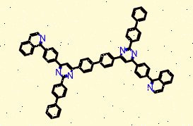 c1ccc(-c2ccc(-c3nc(-c4ccc(-c5ccc(-c6cc(-c7ccc(-c8nccc9ccccc89)cc7)nc(-c7ccc(-c8ccccc8)cc7)n6)cc5)cc4)cc(-c4ccc(-c5nccc6ccccc56)cc4)n3)cc2)cc1